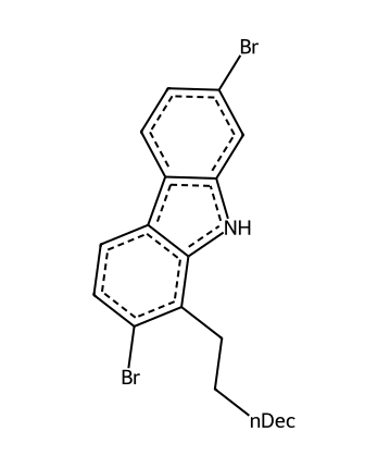 CCCCCCCCCCCCc1c(Br)ccc2c1[nH]c1cc(Br)ccc12